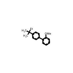 CCC(C)(C)c1ccc(-c2[c]cccc2OC)cc1